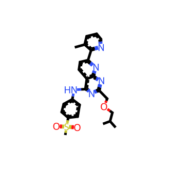 Cc1cccnc1-c1ccc2c(Nc3ccc(S(C)(=O)=O)cc3)nc(COCC(C)C)nc2n1